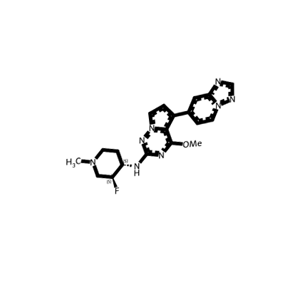 COc1nc(N[C@H]2CCN(C)C[C@@H]2F)nn2ccc(-c3ccn4ncnc4c3)c12